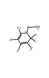 CC1(F)C(F)=C(F)C(F)=C(F)C1CO